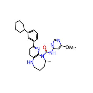 COc1cc(NC(=O)N2c3nc(-c4cccc(C5CCCCC5)c4)ccc3NCCC[C@H]2C)ncn1